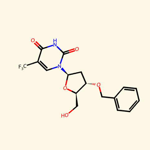 O=c1[nH]c(=O)n([C@H]2C[C@H](OCc3ccccc3)[C@@H](CO)O2)cc1C(F)(F)F